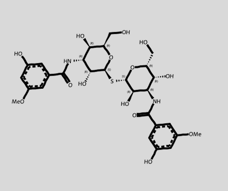 COc1cc(O)cc(C(=O)N[C@@H]2[C@@H](O)[C@@H](CO)O[C@@H](S[C@@H]3O[C@H](CO)[C@H](O)[C@@H](NC(=O)c4cc(O)cc(OC)c4)[C@H]3O)[C@@H]2O)c1